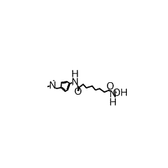 CN(C)Cc1ccc(NC(=O)CCCCCCC(=O)NO)cc1